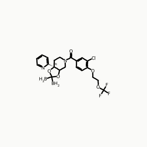 BC1(B)OC2CN(C(=O)c3ccc(OCCOC(F)(F)F)c(Cl)c3)CC[C@]2(c2ccccn2)O1